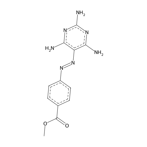 COC(=O)c1ccc(N=Nc2c(N)nc(N)nc2N)cc1